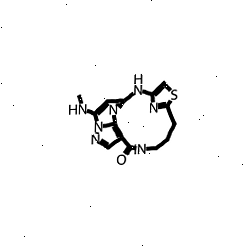 CNc1cc2nc3c(cnn13)C(=O)NCCCc1nc(cs1)N2